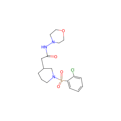 O=C(CC1CCCN(S(=O)(=O)c2ccccc2Cl)C1)NN1CCOCC1